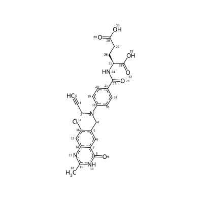 C#CCN(Cc1cc2c(=O)[nH]c(C)nc2cc1Cl)c1ccc(C(=O)N[C@@H](CCC(=O)O)C(=O)O)cc1